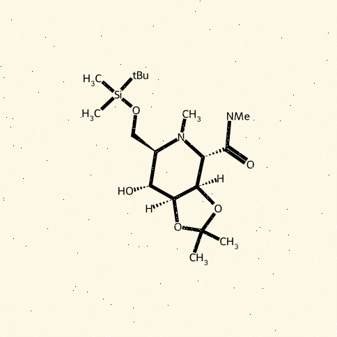 CNC(=O)[C@@H]1[C@H]2OC(C)(C)O[C@H]2[C@H](O)[C@@H](CO[Si](C)(C)C(C)(C)C)N1C